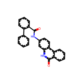 O=C(Nc1ccc2c(c1)[nH]c(=O)c1ccccc12)c1ccccc1-c1ccccc1